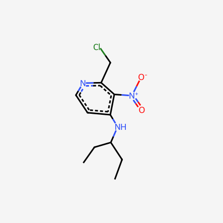 CCC(CC)Nc1ccnc(CCl)c1[N+](=O)[O-]